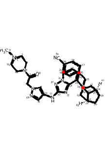 CN1CCN(C(=O)Cn2cc(Nc3nc4c(N5C[C@H]6CC[C@@H](C5)C6OCc5ccc(C#N)cc5)cccn4n3)cn2)CC1